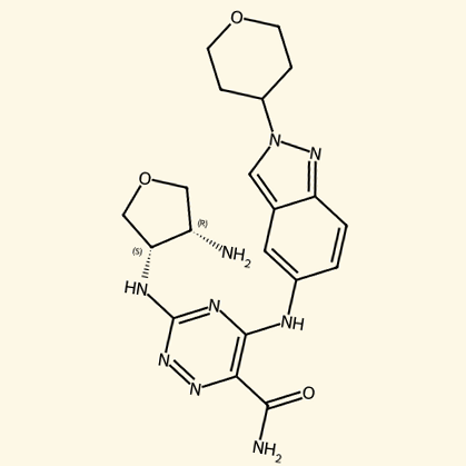 NC(=O)c1nnc(N[C@@H]2COC[C@@H]2N)nc1Nc1ccc2nn(C3CCOCC3)cc2c1